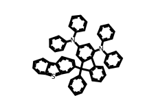 c1ccc(N(c2ccccc2)c2cc(N(c3ccccc3)c3ccccc3)c3c(c2)C(c2ccccc2)(c2ccc4c(c2)sc2ccccc24)c2ccccc2-3)cc1